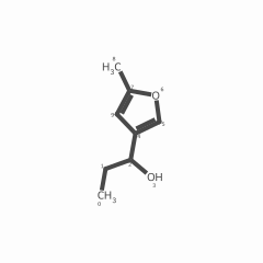 CCC(O)c1coc(C)c1